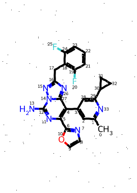 Cc1cc(-c2c(-c3ncco3)nc(N)n3nc(Cc4c(F)cccc4F)nc23)cc(C2CC2)n1